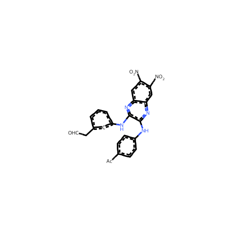 CC(=O)c1ccc(Nc2nc3cc([N+](=O)[O-])c([N+](=O)[O-])cc3nc2Nc2cccc(CC=O)c2)cc1